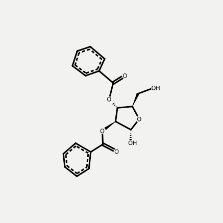 O=C(O[C@H]1[C@H](OC(=O)c2ccccc2)[C@@H](CO)O[C@@H]1O)c1ccccc1